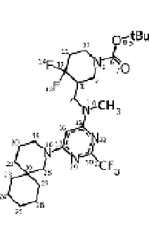 CN(CC1CN(C(=O)OC(C)(C)C)CCC1(F)F)c1cc(N2CCCC3(CCCCC3)C2)nc(C(F)(F)F)n1